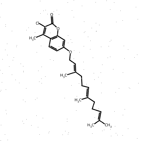 CC(C)=CCC/C(C)=C/CC/C(C)=C/COc1ccc2c(C)c(Cl)c(=O)oc2c1